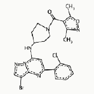 Cc1noc(C)c1C(=O)N1CCC(Nc2cc(-c3ccccc3Cl)nc3c(Br)cnn23)CC1